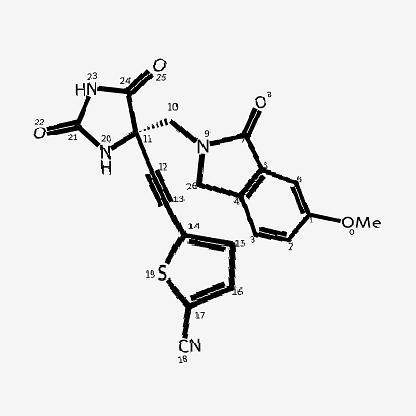 COc1ccc2c(c1)C(=O)N(C[C@]1(C#Cc3ccc(C#N)s3)NC(=O)NC1=O)C2